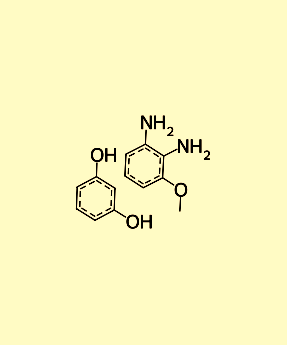 COc1cccc(N)c1N.Oc1cccc(O)c1